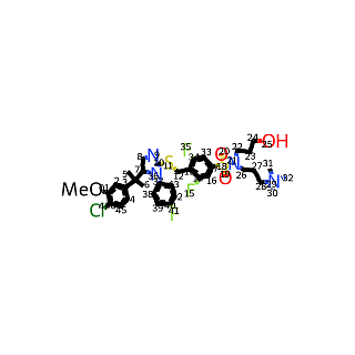 COc1cc(C(C)(C)C2CN=C(SCc3c(F)cc(S(=O)(=O)N(CCCO)CCC[N+](C)(C)C)cc3F)N2c2ccc(F)cc2)ccc1Cl